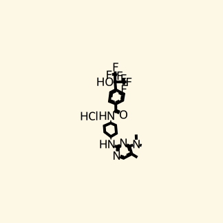 Cc1cnc(N[C@H]2CC[C@@H](NC(=O)c3ccc(C(O)(C(F)(F)F)C(F)(F)F)cc3)CC2)nc1N(C)C.Cl